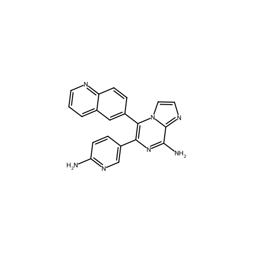 Nc1ccc(-c2nc(N)c3nccn3c2-c2ccc3ncccc3c2)cn1